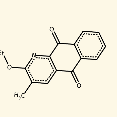 CCOc1nc2c(cc1C)C(=O)c1ccccc1C2=O